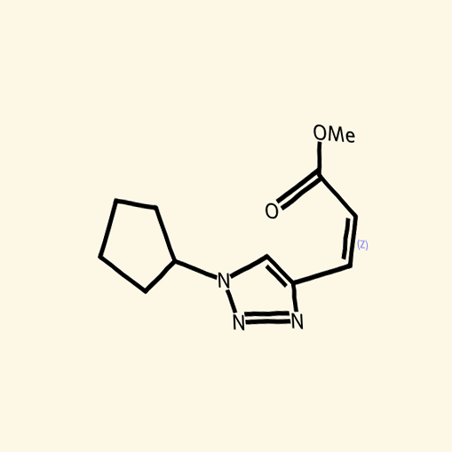 COC(=O)/C=C\c1cn(C2CCCC2)nn1